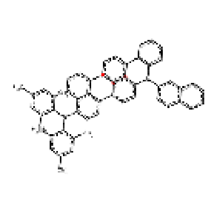 Cc1cc(C)c(B(c2c(C)cc(C)cc2C)c2ccc3c4c(cccc24)Oc2cc(N(c4ccc5ccccc5c4)c4ccccc4-c4ccccc4)ccc2-3)c(C)c1